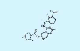 Cc1nc(N[C@H](C)c2cccc(C(F)F)c2F)c2cc(OC(=O)N3CCN(C)CC3C)ncc2n1